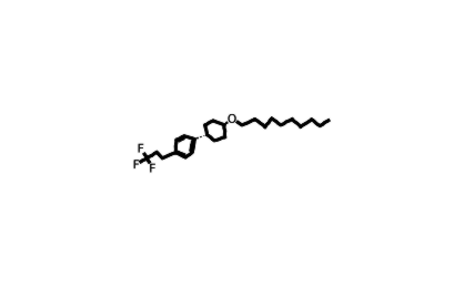 CCCCCCCCCCO[C@H]1CC[C@H](c2ccc(CCC(F)(F)F)cc2)CC1